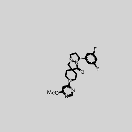 COc1cc(N2CCC3(CC2)CN2CC[C@@H](c4cc(F)cc(F)c4)N2C3=O)ncn1